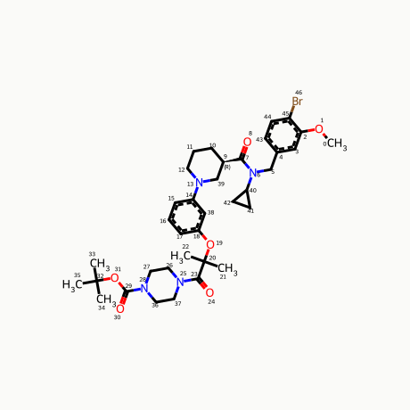 COc1cc(CN(C(=O)[C@@H]2CCCN(c3cccc(OC(C)(C)C(=O)N4CCN(C(=O)OC(C)(C)C)CC4)c3)C2)C2CC2)ccc1Br